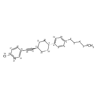 CCCCCc1ccc([C@H]2CC[C@H](C#Cc3ccc(Cl)nc3)CC2)cc1